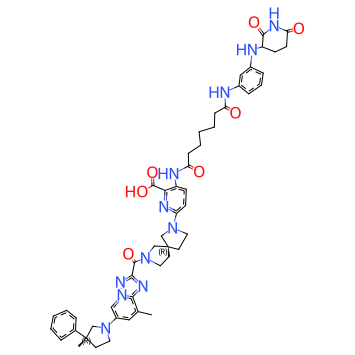 Cc1cc(N2CC[C@](C)(c3ccccc3)C2)cn2nc(C(=O)N3CC[C@@]4(CCN(c5ccc(NC(=O)CCCCCC(=O)Nc6cccc(NC7CCC(=O)NC7=O)c6)c(C(=O)O)n5)C4)C3)nc12